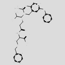 CC(C)[C@H](CCC(=O)NC(COCc1ccccc1)C(=O)O)N1Cc2cc(Oc3ccccc3)ncc2N=C1N